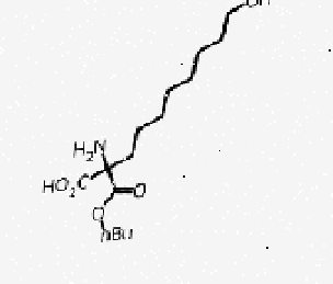 CCCCOC(=O)C(N)(CCCCCCCCO)C(=O)O